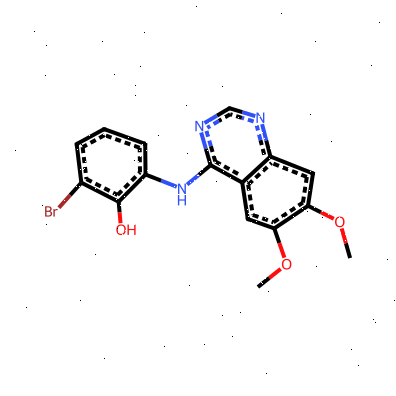 COc1cc2ncnc(Nc3cccc(Br)c3O)c2cc1OC